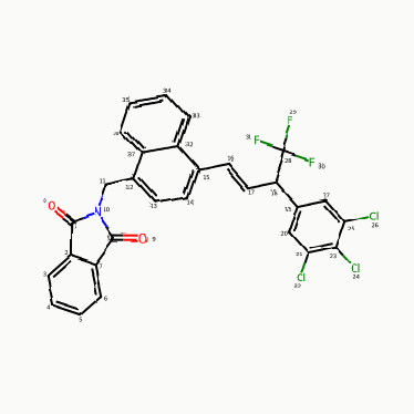 O=C1c2ccccc2C(=O)N1Cc1ccc(C=CC(c2cc(Cl)c(Cl)c(Cl)c2)C(F)(F)F)c2ccccc12